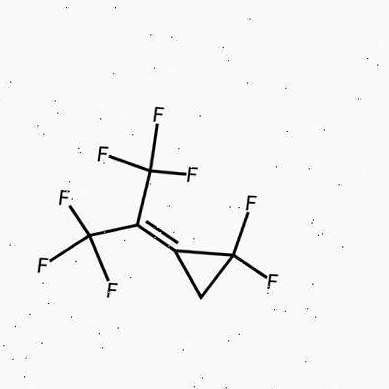 FC(F)(F)C(=C1CC1(F)F)C(F)(F)F